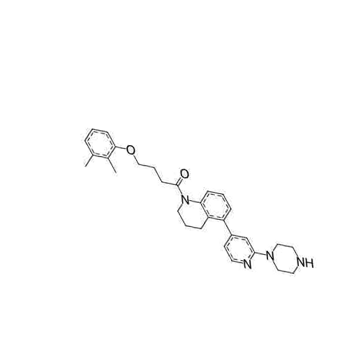 Cc1cccc(OCCCC(=O)N2CCCc3c(-c4ccnc(N5CCNCC5)c4)cccc32)c1C